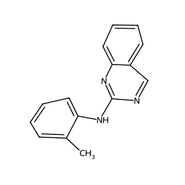 Cc1ccccc1Nc1ncc2ccccc2n1